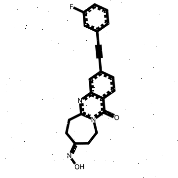 O=c1c2ccc(C#Cc3cccc(F)c3)cc2nc2n1CC/C(=N\O)CC2